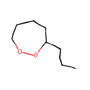 [CH2]CCC1CCCCOO1